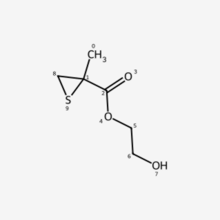 CC1(C(=O)OCCO)CS1